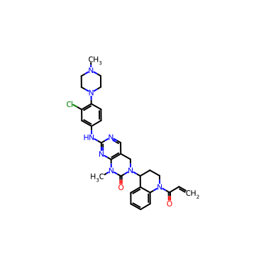 C=CC(=O)N1CCC(N2Cc3cnc(Nc4ccc(N5CCN(C)CC5)c(Cl)c4)nc3N(C)C2=O)c2ccccc21